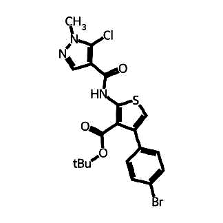 Cn1ncc(C(=O)Nc2scc(-c3ccc(Br)cc3)c2C(=O)OC(C)(C)C)c1Cl